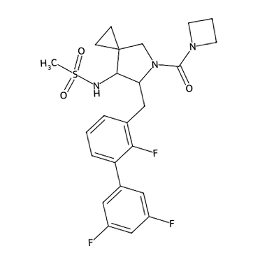 CS(=O)(=O)NC1C(Cc2cccc(-c3cc(F)cc(F)c3)c2F)N(C(=O)N2CCC2)CC12CC2